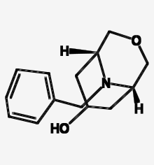 OC1C[C@H]2COC[C@@H](C1)N2Cc1ccccc1